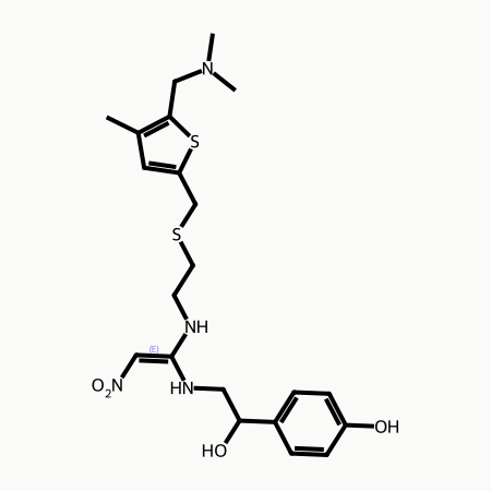 Cc1cc(CSCCN/C(=C/[N+](=O)[O-])NCC(O)c2ccc(O)cc2)sc1CN(C)C